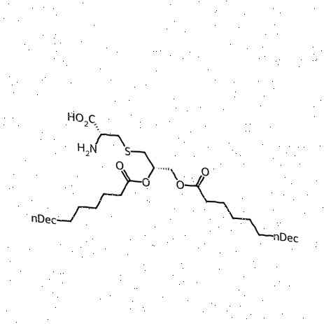 CCCCCCCCCCCCCCCC(=O)OC[C@@H](CSC[C@H](N)C(=O)O)OC(=O)CCCCCCCCCCCCCCC